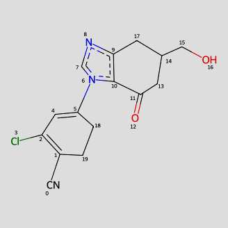 N#CC1=C(Cl)C=C(n2cnc3c2C(=O)CC(CO)C3)CC1